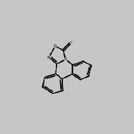 S=c1onc2c3ccccc3c3ccccc3n12